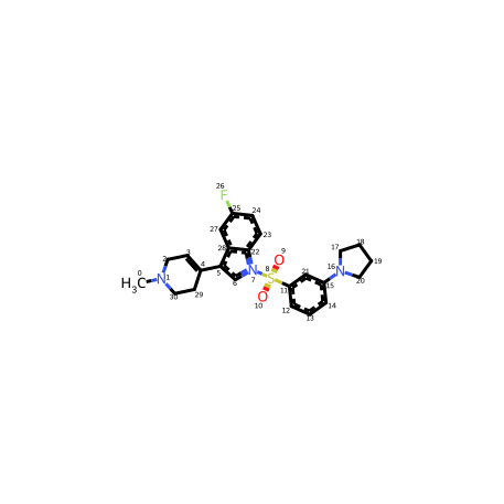 CN1CC=C(c2cn(S(=O)(=O)c3cccc(N4CCCC4)c3)c3ccc(F)cc23)CC1